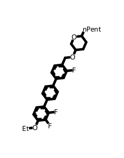 CCCCCC1CCC(OCc2ccc(-c3ccc(-c4ccc(OCC)c(F)c4F)cc3)cc2F)CO1